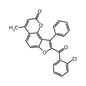 Cc1cc(=O)oc2c1ccc1oc(C(=O)c3ccccc3Cl)c(-c3ccccc3)c12